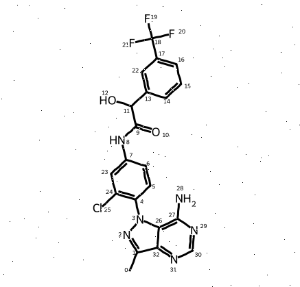 Cc1nn(-c2ccc(NC(=O)C(O)c3cccc(C(F)(F)F)c3)cc2Cl)c2c(N)ncnc12